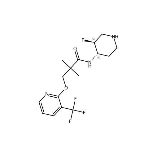 CC(C)(COc1ncccc1C(F)(F)F)C(=O)N[C@H]1CCNC[C@@H]1F